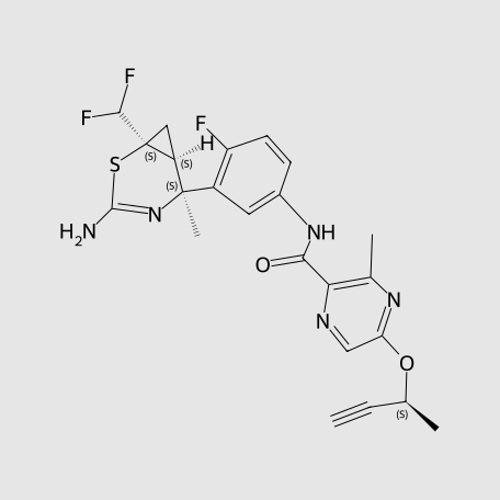 C#C[C@H](C)Oc1cnc(C(=O)Nc2ccc(F)c([C@@]3(C)N=C(N)S[C@@]4(C(F)F)C[C@@H]34)c2)c(C)n1